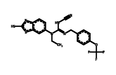 CCN(/C(=N/Cc1ccc(OC(F)(F)F)cc1)NC#N)c1ccc2nc(S)sc2c1